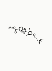 COC(=O)c1ccc2nc(-c3c(C)cc(OCCC[S+](C)[O-])cc3C)nn2c1